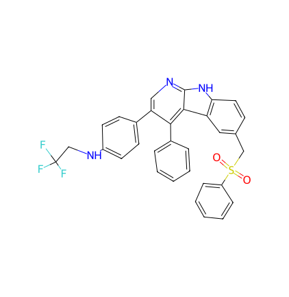 O=S(=O)(Cc1ccc2[nH]c3ncc(-c4ccc(NCC(F)(F)F)cc4)c(-c4ccccc4)c3c2c1)c1ccccc1